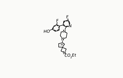 CCOC(=O)N1CC2(CC[C@@H](N3CCN(c4ncc(F)cc4-c4ccc(O)cc4F)CC3)C2)C1